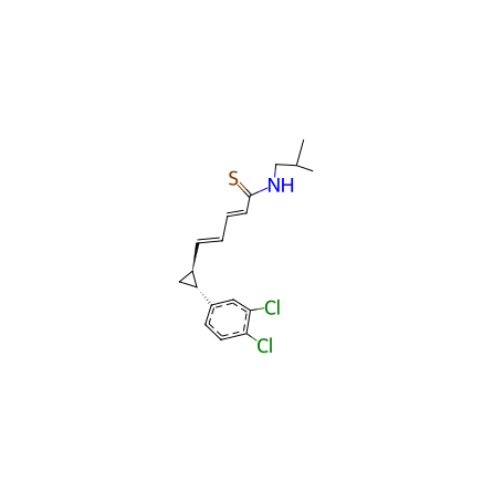 CC(C)CNC(=S)C=CC=C[C@@H]1C[C@H]1c1ccc(Cl)c(Cl)c1